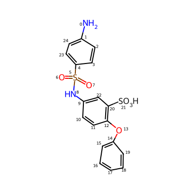 Nc1ccc(S(=O)(=O)Nc2ccc(Oc3ccccc3)c(S(=O)(=O)O)c2)cc1